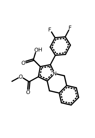 COC(=O)c1c(C(=O)O)c(-c2ccc(F)c(F)c2)n2c1Cc1ccccc1C2